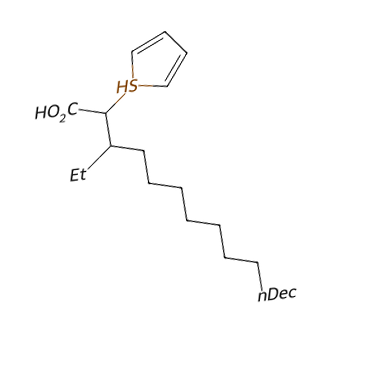 CCCCCCCCCCCCCCCCCC(CC)C(C(=O)O)[SH]1C=CC=C1